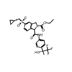 CCOC(=O)N1Cc2cc(S(=O)(=O)CC3CC3)ccc2C1C(=O)Nc1ccc(C(C)(O)C(F)(F)F)cc1